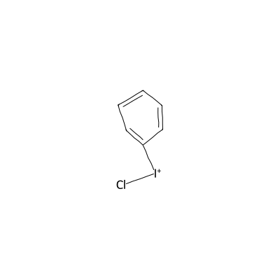 Cl[I+]c1ccccc1